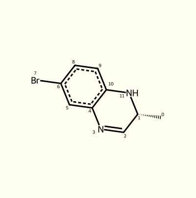 C[C@@H]1C=Nc2cc(Br)ccc2N1